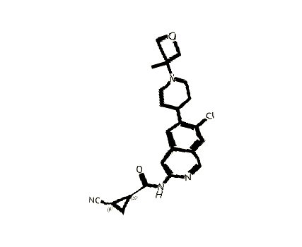 CC1(N2CCC(c3cc4cc(NC(=O)[C@H]5C[C@H]5C#N)ncc4cc3Cl)CC2)COC1